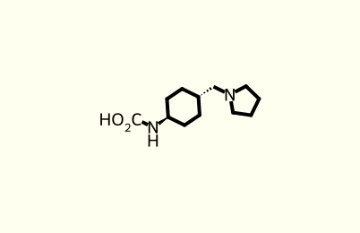 O=C(O)N[C@H]1CC[C@H](CN2CCCC2)CC1